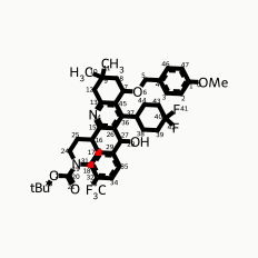 COc1ccc(COC2CC(C)(C)Cc3nc(C4CCN(C(=O)OC(C)(C)C)CC4)c(C(O)c4ccc(C(F)(F)F)cc4)c(C4CCC(F)(F)CC4)c32)cc1